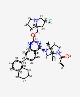 C=CC(=O)N1CC[C@@H]2[C@H]1CN2c1nc(OC[C@@]23CCCN2C[C@H](F)C3)nc2cc(-c3cccc4c3CCCC4)ccc12